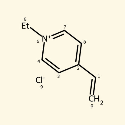 C=Cc1cc[n+](CC)cc1.[Cl-]